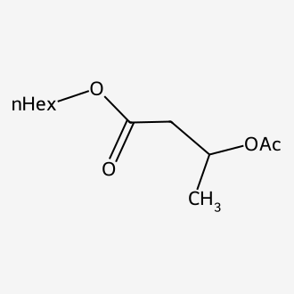 CCCCCCOC(=O)CC(C)OC(C)=O